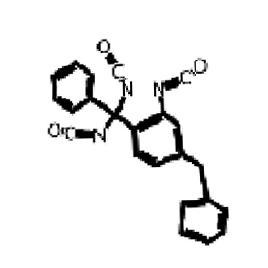 O=C=Nc1cc(Cc2ccccc2)ccc1C(N=C=O)(N=C=O)c1ccccc1